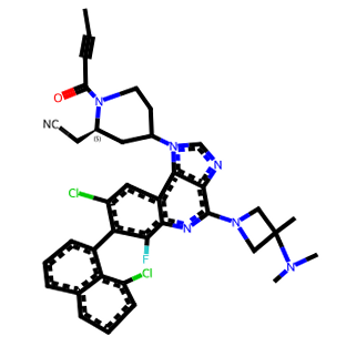 CC#CC(=O)N1CCC(n2cnc3c(N4CC(C)(N(C)C)C4)nc4c(F)c(-c5cccc6cccc(Cl)c56)c(Cl)cc4c32)C[C@H]1CC#N